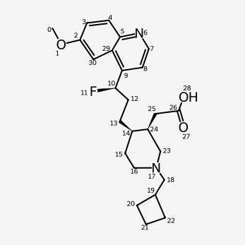 COc1ccc2nccc([C@H](F)CC[C@@H]3CCN(CC4CCC4)C[C@@H]3CC(=O)O)c2c1